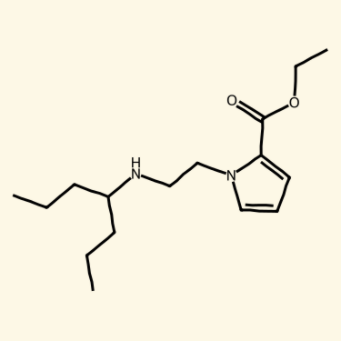 CCCC(CCC)NCCn1cccc1C(=O)OCC